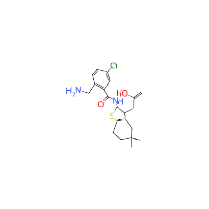 C=C(O)CC1C2=C(CCC(C)(C)C2)SC1NC(=O)c1cc(Cl)ccc1CN